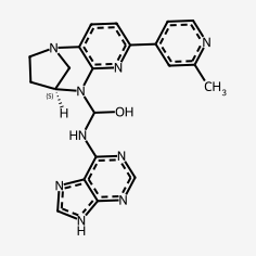 Cc1cc(-c2ccc3c(n2)N(C(O)Nc2ncnc4[nH]cnc24)[C@H]2CCN3C2)ccn1